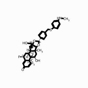 CNc1ccc(SCc2ccc([C@H]3O[C@@H]4C[C@H]5[C@@H]6C[C@H](F)C7=CC(=O)C=C[C@]7(C)[C@@]6(F)[C@@H](O)C[C@]5(C)[C@]4(C(=O)CO)O3)cc2)cc1